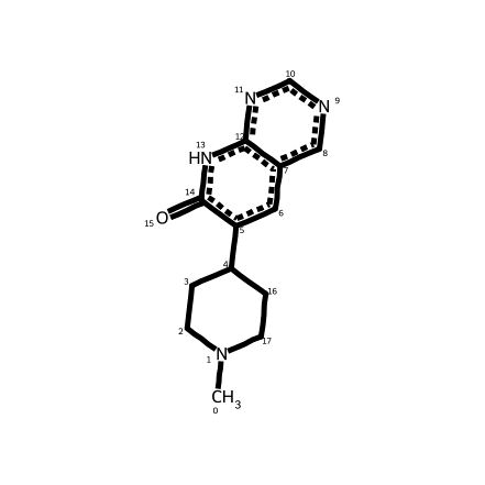 CN1CCC(c2cc3cncnc3[nH]c2=O)CC1